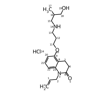 C=CCN1C(=O)CCc2c(OCCCNCC(C)CO)cccc21.Cl